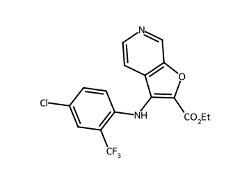 CCOC(=O)c1oc2cnccc2c1Nc1ccc(Cl)cc1C(F)(F)F